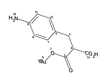 CC(C)(C)OC(=O)C(Cc1ccc(N)cc1)C(=O)O